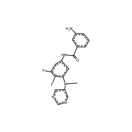 CN(c1cncnc1)c1cc(NC(=O)c2cccc(N)c2)cc(F)c1F